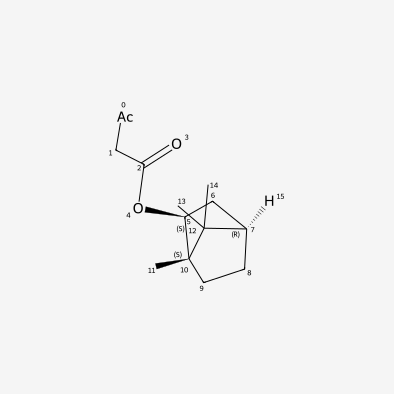 CC(=O)CC(=O)O[C@H]1C[C@H]2CC[C@@]1(C)C2(C)C